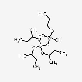 CCC[O][Zr]([OH])([OH])[O][Si](OC(C)CC)(OC(C)CC)OC(C)CC